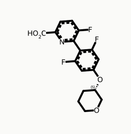 O=C(O)c1ccc(F)c(-c2c(F)cc(O[C@H]3CCCOC3)cc2F)n1